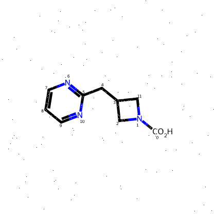 O=C(O)N1CC(Cc2ncccn2)C1